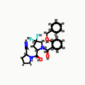 N#CC1CCCN1C(=O)C1CC(F)(F)CN1C(=O)c1ccccc1OCc1ccccc1